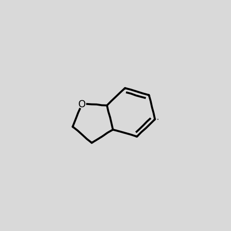 [C]1=CC2CCOC2C=C1